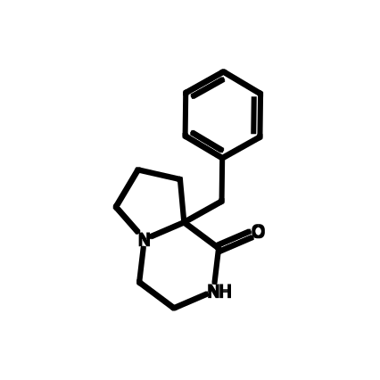 O=C1NCCN2CCCC12Cc1ccccc1